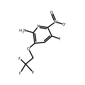 Nc1nc([N+](=O)[O-])c(F)cc1OCC(F)(F)F